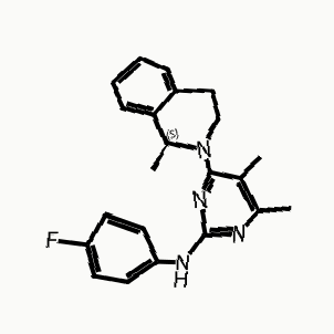 Cc1nc(Nc2ccc(F)cc2)nc(N2CCc3ccccc3[C@@H]2C)c1C